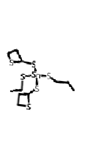 CCC[S][Sn]([S]CC)([S]C1CCS1)[S]C1CCS1